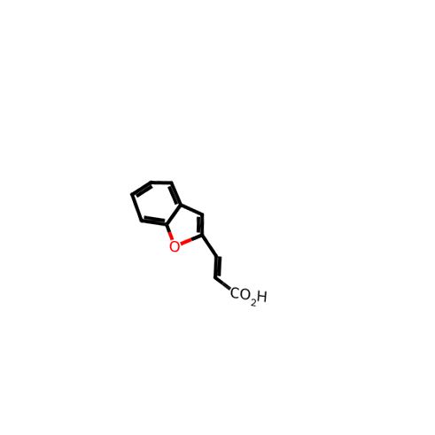 O=C(O)C=Cc1cc2ccccc2o1